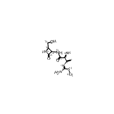 C=C(/N=C(/N)SCC)C(=N)C(=O)NC1C(=O)NC1CO